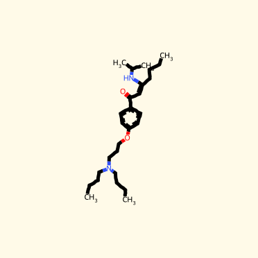 CCCC/C(=C/C(=O)c1ccc(OCCCN(CCCC)CCCC)cc1)NC(C)C